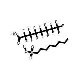 CCCCCCCCS(=O)(=O)OF.O=C(O)C(F)(F)C(F)(F)C(F)(F)C(F)(F)C(F)(F)C(F)(F)C(F)(F)F